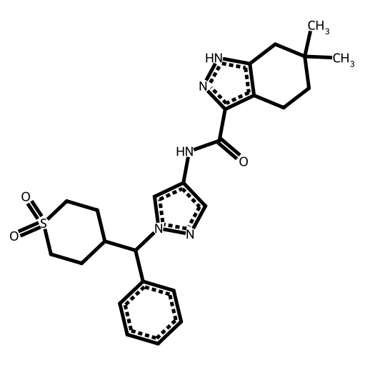 CC1(C)CCc2c(C(=O)Nc3cnn(C(c4ccccc4)C4CCS(=O)(=O)CC4)c3)n[nH]c2C1